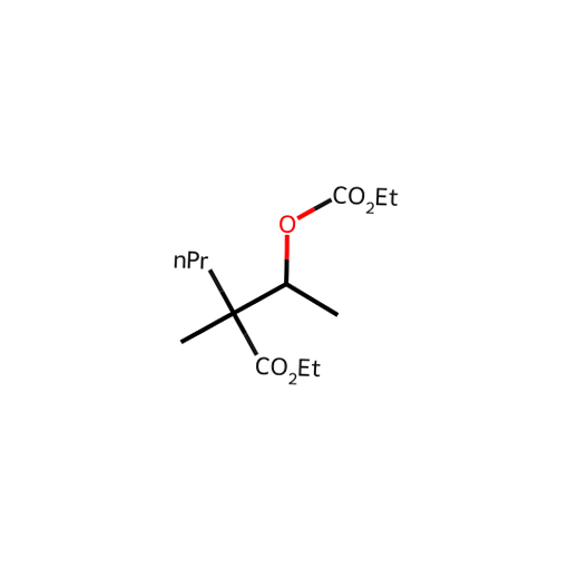 CCCC(C)(C(=O)OCC)C(C)OC(=O)OCC